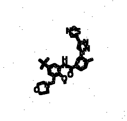 COc1c(CN2CCOCC2)cc(C(C)(C)C)cc1NC(=O)c1ccc(C)c(-n2cc(-c3cncs3)nn2)c1